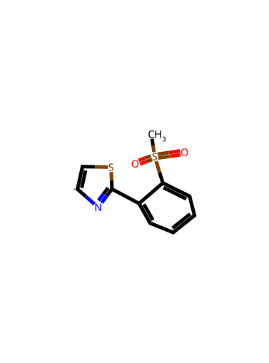 CS(=O)(=O)c1ccccc1-c1n[c]cs1